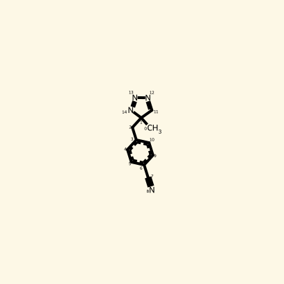 CC1(Cc2ccc(C#N)cc2)C=NN=N1